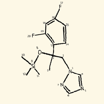 CC(Cn1cncn1)(O[Si](C)(C)C)c1ccc(F)cc1F